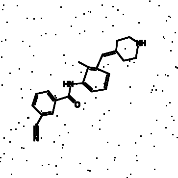 Cc1c(C=C2CCNCC2)cccc1NC(=O)c1cccc(C#N)c1